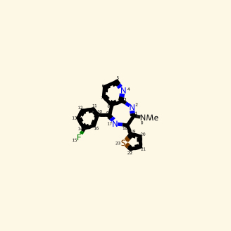 CNC1=Nc2ncccc2C(c2cccc(F)c2)=NC1c1cccs1